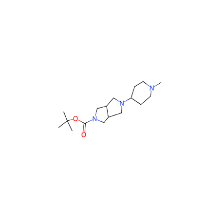 CN1CCC(N2CC3CN(C(=O)OC(C)(C)C)CC3C2)CC1